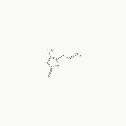 [CH2]c1oc(=O)oc1CC=C